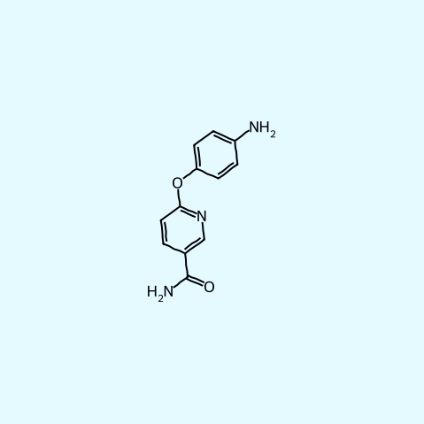 NC(=O)c1ccc(Oc2ccc(N)cc2)nc1